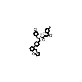 O=C(N[C@@H](C=C1CCC(c2ccccc2CN2CCCC2=O)CC1)Cc1ccc(Cl)cc1)c1cc(=O)c2cc(F)ccc2o1